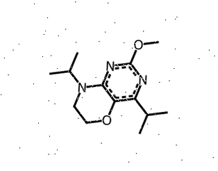 COc1nc(C(C)C)c2c(n1)N(C(C)C)CCO2